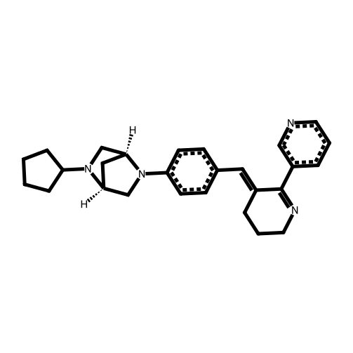 C(=C1CCCN=C1c1cccnc1)c1ccc(N2C[C@@H]3C[C@H]2CN3C2CCCC2)cc1